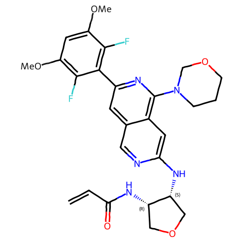 C=CC(=O)N[C@H]1COC[C@H]1Nc1cc2c(N3CCCOC3)nc(-c3c(F)c(OC)cc(OC)c3F)cc2cn1